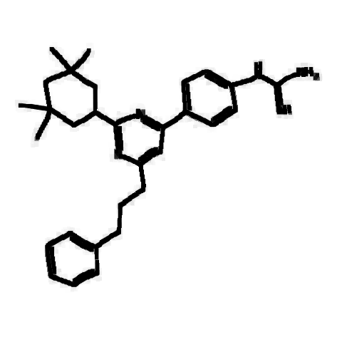 CC1(C)CC(c2nc(CCCc3ccccc3)cc(-c3ccc(NC(=N)N)cc3)n2)CC(C)(C)C1